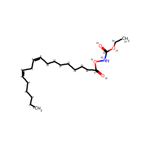 CCCCC/C=C\C/C=C\CCCCCCCC(=O)ONC(=O)OCC